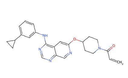 C=CC(=O)N1CCC(Oc2cc3c(Nc4cccc(C5CC5)c4)ncnc3cn2)CC1